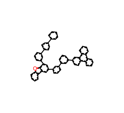 c1ccc(-c2ccc(-c3cccc(-c4cc(-c5cccc(-c6cccc(-c7ccc8c9ccccc9c9ccccc9c8c7)c6)c5)cc5c4oc4ccccc45)c3)cc2)cc1